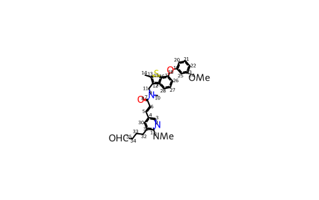 CNc1ncc(/C=C/C(=O)N(C)Cc2c(C)sc3c(Oc4cccc(OC)c4)cccc23)cc1CCCC=O